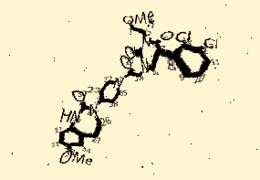 COC[C@H](C)n1c(=O)c(-c2cccc(Cl)c2Cl)cn(CC(=O)N2CCC(N3CCC4=C(C=CC(OC)C4)NC3=O)CC2)c1=O